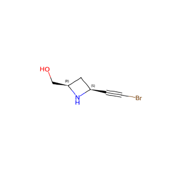 OC[C@H]1C[C@@H](C#CBr)N1